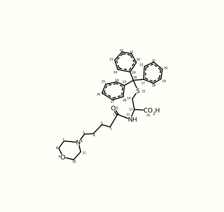 O=C(CCCCN1CCOCC1)NC(CSC(c1ccccc1)(c1ccccc1)c1ccccc1)C(=O)O